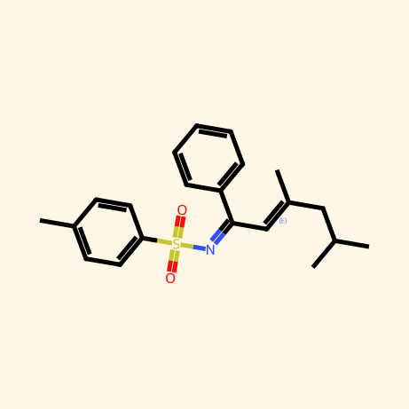 C/C(=C\C(=NS(=O)(=O)c1ccc(C)cc1)c1ccccc1)CC(C)C